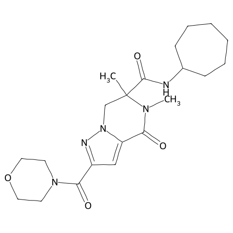 CN1C(=O)c2cc(C(=O)N3CCOCC3)nn2CC1(C)C(=O)NC1CCCCCC1